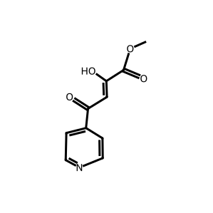 COC(=O)C(O)=CC(=O)c1ccncc1